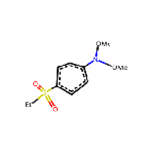 CCS(=O)(=O)c1ccc(N(OC)OC)cc1